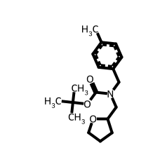 Cc1ccc(CN(CC2CCCO2)C(=O)OC(C)(C)C)cc1